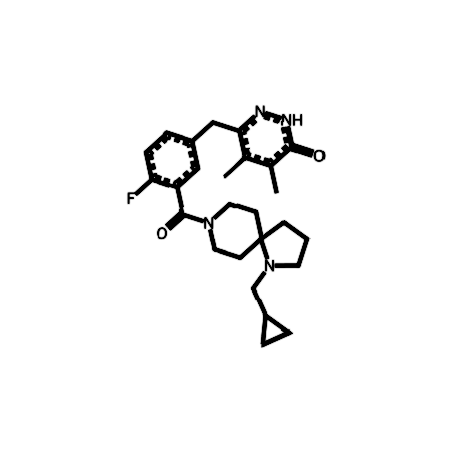 Cc1c(Cc2ccc(F)c(C(=O)N3CCC4(CCCN4CC4CC4)CC3)c2)n[nH]c(=O)c1C